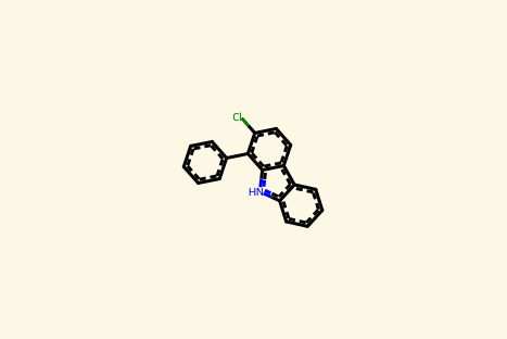 Clc1ccc2c([nH]c3ccccc32)c1-c1ccccc1